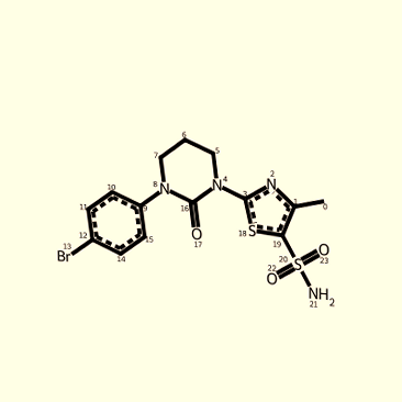 Cc1nc(N2CCCN(c3ccc(Br)cc3)C2=O)sc1S(N)(=O)=O